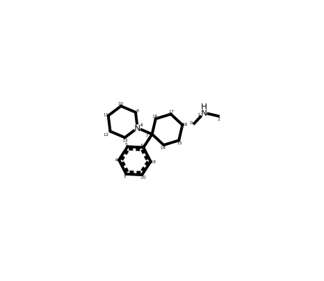 CNC.c1ccc(C2(N3CCCCC3)CCCCC2)cc1